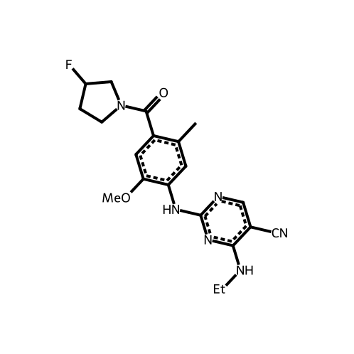 CCNc1nc(Nc2cc(C)c(C(=O)N3CCC(F)C3)cc2OC)ncc1C#N